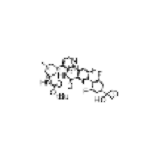 C[C@@H]1C[C@H](NC(=O)OC(C)(C)C)C[C@H](c2ccncc2NC(=O)c2nc(-c3c(F)cc(C4(O)COC4)cc3F)c(F)cc2N)C1